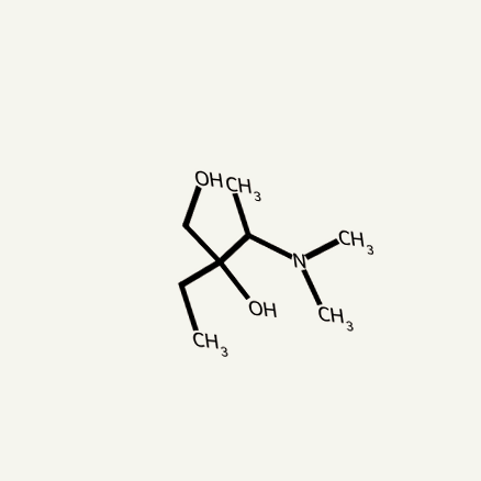 CCC(O)(CO)C(C)N(C)C